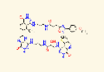 COc1ccc(-c2noc(CCC(=O)NCCCNc3n[nH]c(=O)c4cccc(C)c34)n2)cc1.CSc1ccnc2c(=O)[nH]nc(NCC(O)C(=O)NCCCNc3n[nH]c(=O)c4nccnc34)c12